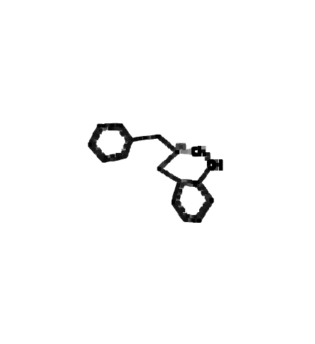 C[C@@H](Cc1ccccc1)Cc1ccccc1O